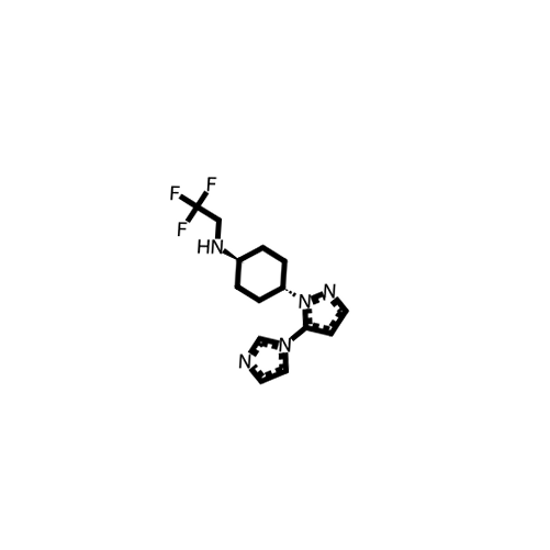 FC(F)(F)CN[C@H]1CC[C@H](n2nccc2-n2ccnc2)CC1